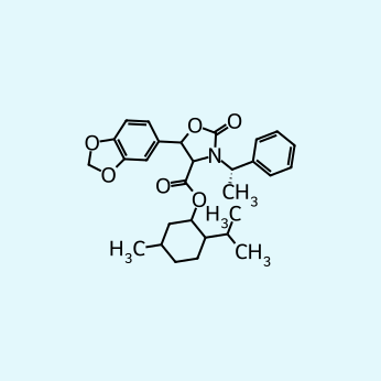 CC1CCC(C(C)C)C(OC(=O)C2C(c3ccc4c(c3)OCO4)OC(=O)N2[C@@H](C)c2ccccc2)C1